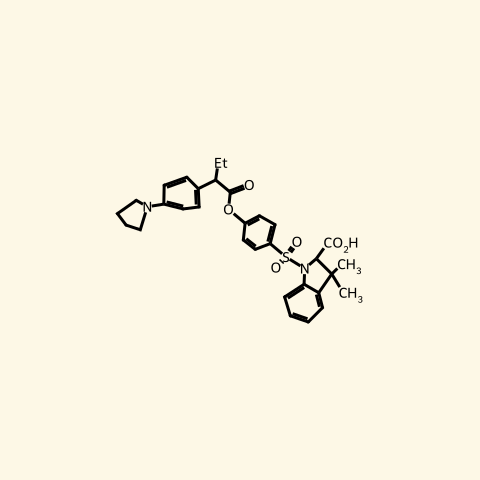 CCC(C(=O)Oc1ccc(S(=O)(=O)N2c3ccccc3C(C)(C)C2C(=O)O)cc1)c1ccc(N2CCCC2)cc1